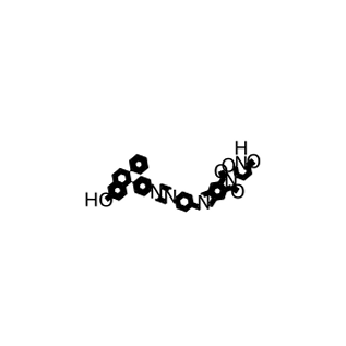 O=C1CCC(N2C(=O)c3cc4c(cc3C2=O)CN(CC2CCC(N3CCN(c5ccc([C@@H]6c7ccc(O)cc7CC[C@@H]6c6ccccc6)cc5)CC3)CC2)C4)C(=O)N1